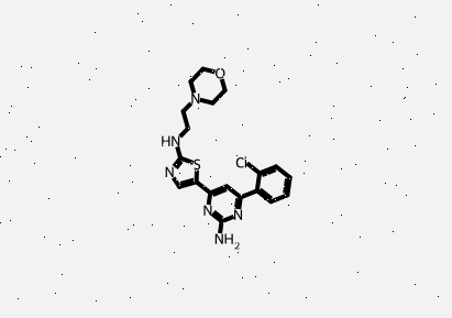 Nc1nc(-c2cnc(NCCN3CCOCC3)s2)cc(-c2ccccc2Cl)n1